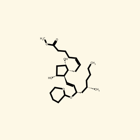 CCCC[C@H](C)C[C@@H](/C=C/[C@@H]1[C@@H](C/C=C\CCCC(=O)OC)[C@@H](O)C[C@H]1O)OC1CCCCO1